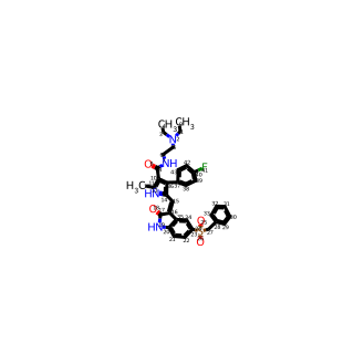 CCN(CC)CCNC(=O)c1c(C)[nH]c(/C=C2\C(=O)Nc3ccc(S(=O)(=O)Cc4ccccc4)cc32)c1-c1ccc(F)cc1